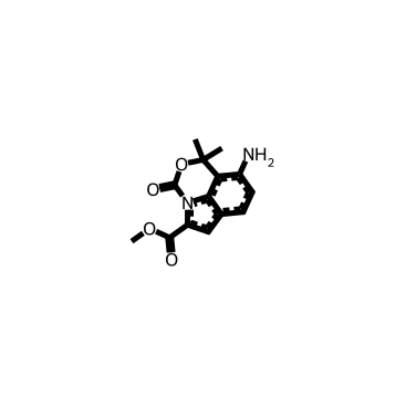 COC(=O)c1cc2ccc(N)c3c2n1C(=O)OC3(C)C